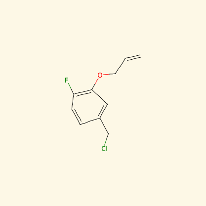 C=CCOc1cc(CCl)ccc1F